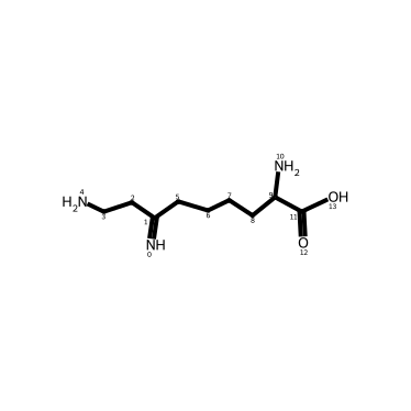 N=C(CCN)CCCCC(N)C(=O)O